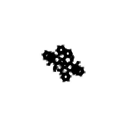 Cc1ccccc1-c1c2/c(=C(\C#N)c3nc4ccccc4n3C)n(B(c3ccccc3)c3ccccc3)c(C(C)C)c2/c(=C(\C#N)c2nc3ccccc3n2C)n1B(c1ccccc1)c1ccccc1